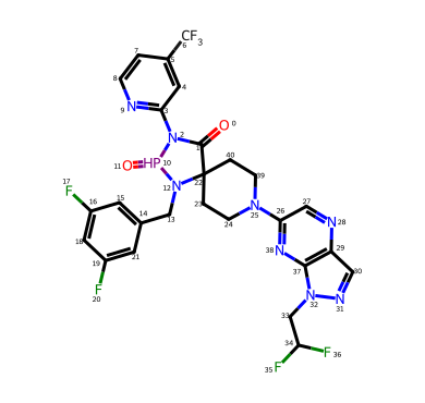 O=C1N(c2cc(C(F)(F)F)ccn2)[PH](=O)N(Cc2cc(F)cc(F)c2)C12CCN(c1cnc3cnn(CC(F)F)c3n1)CC2